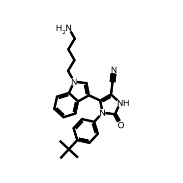 CC(C)(C)c1ccc(-n2c(-c3cn(CCCCN)c4ccccc34)c(C#N)[nH]c2=O)cc1